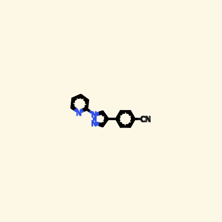 N#Cc1ccc(-c2cnn(-c3ccccn3)c2)cc1